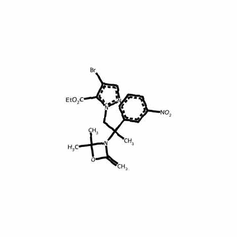 C=C1OC(C)(C)N1C(C)(Cn1ncc(Br)c1C(=O)OCC)c1cccc([N+](=O)[O-])c1